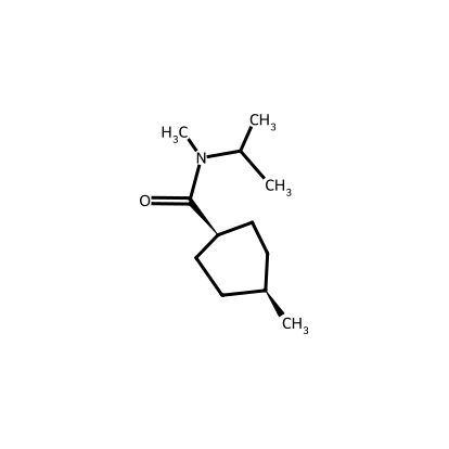 CC(C)N(C)C(=O)[C@H]1CC[C@@H](C)CC1